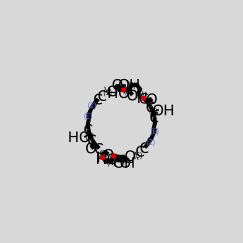 C[C@@H]1CC[C@H]2CC(=O)C[C@@H](O)CC/C=C/C=C\CC[C@H](C)OC(=O)C(O)[C@]3(O)O[C@@H](CC[C@H]3C)CC(=O)C[C@@H](O)CC/C=C/C=C\CC[C@H](C)OC(=O)C(O)[C@]1(O)O2